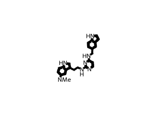 CNc1ccc2[nH]cc(CCNc3nccc(NCc4ccc5[nH]ccc5c4)n3)c2c1